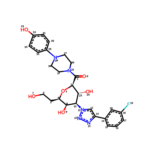 O=C([C@@H]1O[C@H](CCO)[C@H](O)[C@H](n2cc(-c3cccc(F)c3)nn2)[C@H]1O)N1CCN(c2ccc(O)cc2)CC1